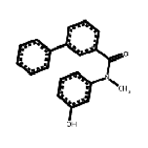 CN(C(=O)c1cccc(-c2ccccc2)c1)c1cccc(O)c1